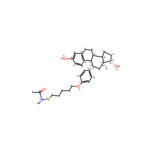 CC(=O)N(C)SCCCCCOc1ccc([C@H]2C[C@@]3(C)C(CC[C@@H]3O)C3CCc4cc(O)ccc4C32)cc1